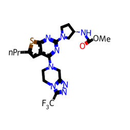 CCCc1cc2c(N3CCn4c(nnc4C(F)(F)F)C3)nc(N3CC[C@H](NC(=O)OC)C3)nc2s1